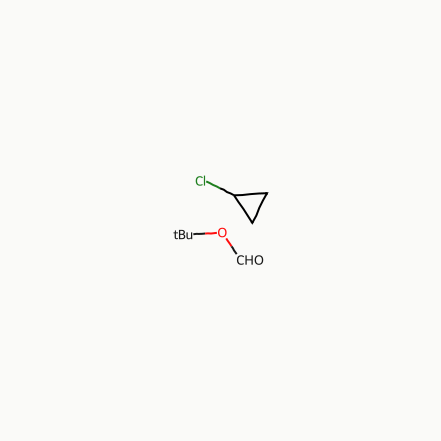 CC(C)(C)OC=O.ClC1CC1